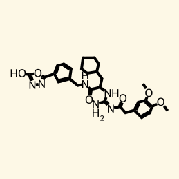 COc1ccc(CC(=O)N=C(N)NC(CC2CCCCC2)C(=O)NCc2cccc(-c3nnc(O)o3)c2)cc1OC